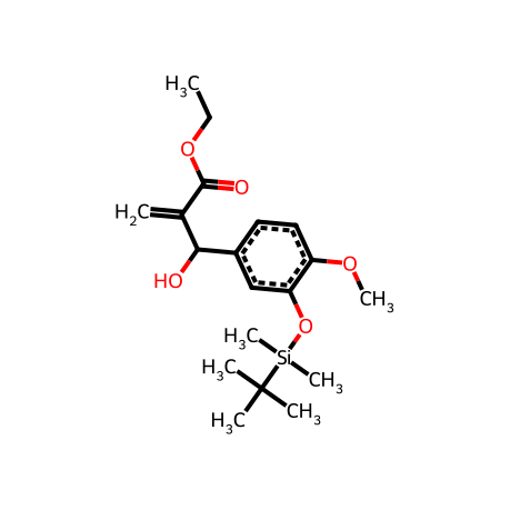 C=C(C(=O)OCC)C(O)c1ccc(OC)c(O[Si](C)(C)C(C)(C)C)c1